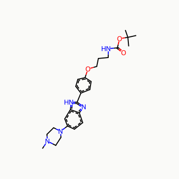 CN1CCN(c2ccc3nc(-c4ccc(OCCCNC(=O)OC(C)(C)C)cc4)[nH]c3c2)CC1